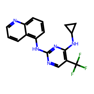 FC(F)(F)c1cnc(Nc2cccc3ncccc23)nc1NC1CC1